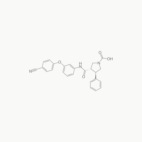 N#Cc1ccc(Oc2cccc(NC(=O)[C@@H]3CN(C(=O)O)C[C@H]3c3ccccc3)c2)cc1